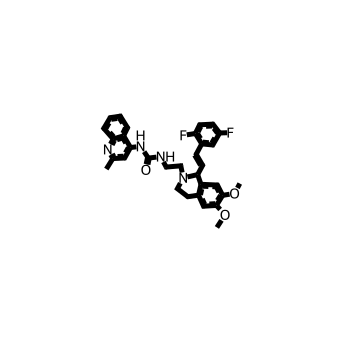 COc1cc2c(cc1OC)C(/C=C/c1cc(F)ccc1F)N(CCNC(=O)Nc1cc(C)nc3ccccc13)CC2